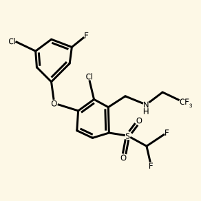 O=S(=O)(c1ccc(Oc2cc(F)cc(Cl)c2)c(Cl)c1CNCC(F)(F)F)C(F)F